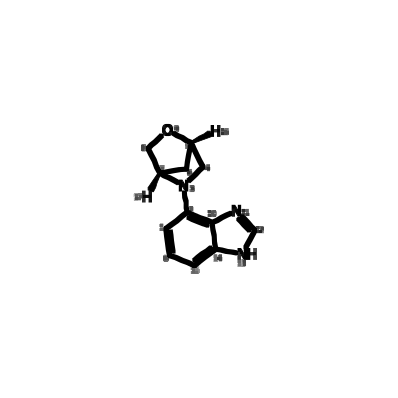 c1cc(N2C[C@@H]3C[C@H]2CO3)c2nc[nH]c2c1